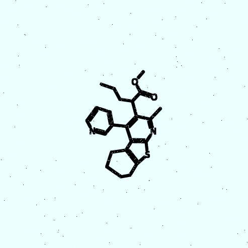 CCCC(C(=O)OC)c1c(C)nc2sc3c(c2c1-c1cccnc1)CCCC3